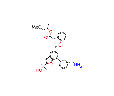 COCC(C)OC(=O)Cc1ccccc1OCc1cc(-c2cccc(CN)c2)c2oc(C(C)(C)O)cc2c1